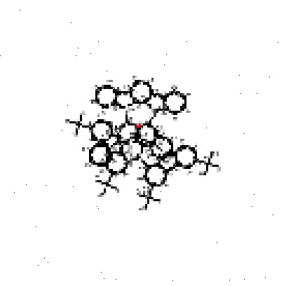 CC(C)(C)c1ccc2c(c1)c1cc(C(C)(C)C)cc3c1n2-c1cc(-n2c4ccccc4c4ccc5c6ccccc6n(-c6nc(-c7ccccc7)nc(-c7ccccc7)n6)c5c42)cc2c1B3c1cc(C(C)(C)C)cc3c4cc(C(C)(C)C)ccc4n-2c13